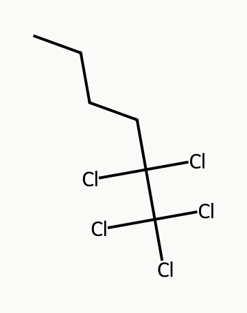 CCCCC(Cl)(Cl)C(Cl)(Cl)Cl